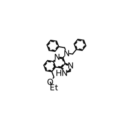 CCOCc1cccc2nc(N(Cc3ccccc3)Cc3ccccc3)c3nc[nH]c3c12